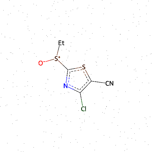 CC[S+]([O-])c1nc(Cl)c(C#N)s1